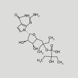 CCC(CC)(CC1O[C@@H](n2ccc3c(=O)[nH]c(N)nc32)[C@H](O)[C@@H]1O)OP(=O)(O)C(O)(CC)CC